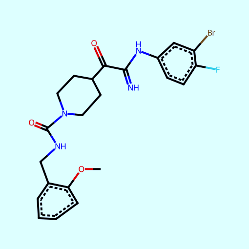 COc1ccccc1CNC(=O)N1CCC(C(=O)C(=N)Nc2ccc(F)c(Br)c2)CC1